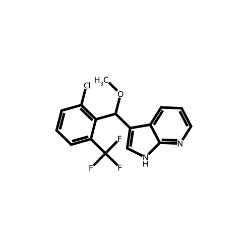 COC(c1c(Cl)cccc1C(F)(F)F)c1c[nH]c2ncccc12